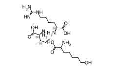 CC[C@H](C)[C@H](N)C(=O)O.N=C(N)NCCCC[C@H](N)C(=O)O.NC(CCCCCO)C(=O)O